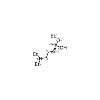 CCO[P@](C)(O)=[SH]CCN(CC)CC